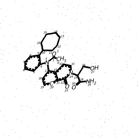 CC(=O)N(c1ccccc1C1CCCCCC1)c1cccc2c(=O)n(C(CO)C(N)=O)ccc12